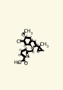 COc1cc2cc(C3(C)CC3)n(Cc3cccc(C(=O)O)n3)c2cc1Cl